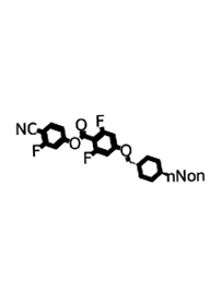 CCCCCCCCC[C@H]1CC[C@H](COc2cc(F)c(C(=O)Oc3ccc(C#N)c(F)c3)c(F)c2)CC1